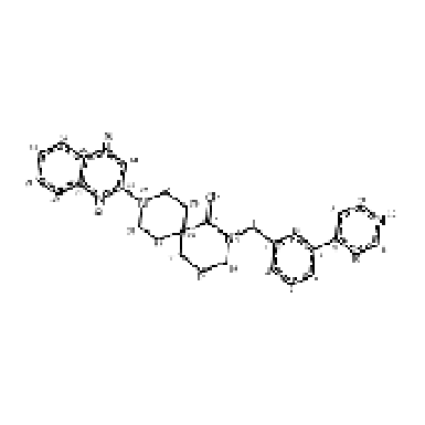 O=C1N(Cc2cccc(-c3ccncc3)c2)CCCC12CCN(c1cnc3ccccc3n1)CC2